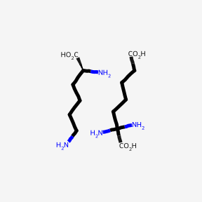 NC(N)(CCCCC(=O)O)C(=O)O.NCCCC[C@H](N)C(=O)O